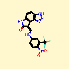 O=C1Nc2ccc3[nH]nnc3c2C1=CNc1ccc([N+](=O)[O-])c(C(F)(F)F)c1